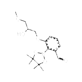 COCC(O)COc1cccc(C=O)c1B1OC(C)(C)C(C)(C)O1